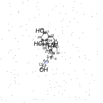 C[C@H](C/C=C/C(C)(C)O)[C@H]1CC[C@H]2[C@@H]3CC=C4C[C@@H](O)C[C@H](O)[C@]4(C)[C@H]3CC[C@]12C